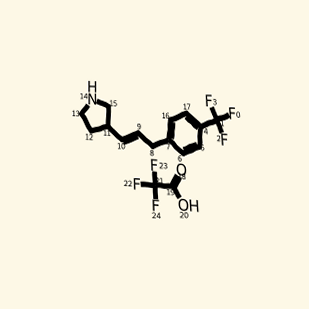 FC(F)(F)c1ccc(CC=CC2CCNC2)cc1.O=C(O)C(F)(F)F